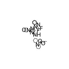 CCOC(=O)C1CCCCN1[C@H]1CC[C@@H](CNc2cc(-n3c(C(F)F)nc4ccccc43)nc(N3CCOCC3)n2)CC1